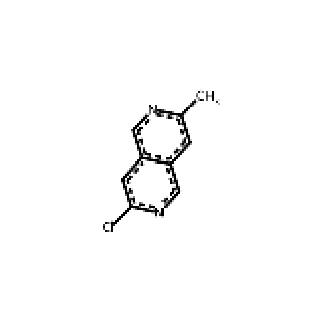 Cc1cc2cnc(Cl)cc2cn1